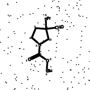 CCCC1(C=O)CCN(C(=O)OC(C)(C)C)C1